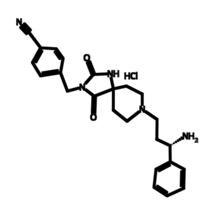 Cl.N#Cc1ccc(CN2C(=O)NC3(CCN(CC[C@H](N)c4ccccc4)CC3)C2=O)cc1